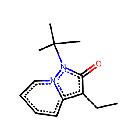 CCc1c(=O)n(C(C)(C)C)n2ccccc12